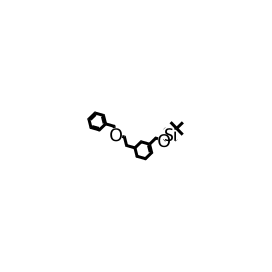 CC(C)(C)[Si](C)(C)OCC1=CCCC(CCOCc2ccccc2)C1